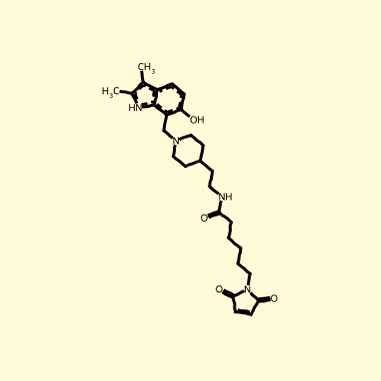 Cc1[nH]c2c(CN3CCC(CCNC(=O)CCCCCN4C(=O)C=CC4=O)CC3)c(O)ccc2c1C